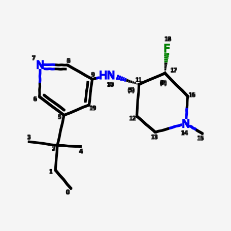 CCC(C)(C)c1cncc(N[C@H]2CCN(C)C[C@H]2F)c1